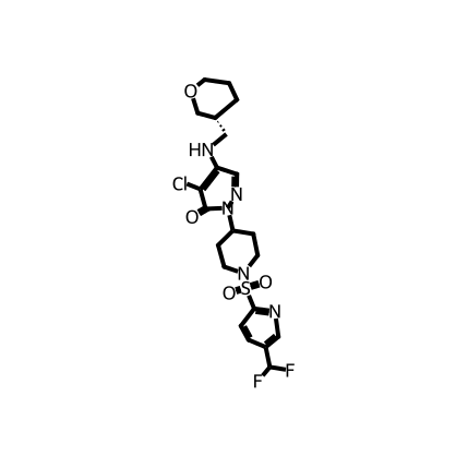 O=c1c(Cl)c(NC[C@H]2CCCOC2)cnn1C1CCN(S(=O)(=O)c2ccc(C(F)F)cn2)CC1